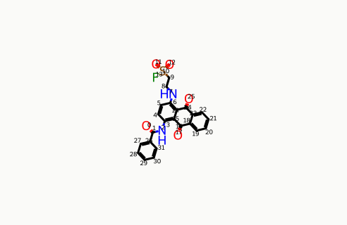 O=C(Nc1ccc(NCCS(=O)(=O)F)c2c1C(=O)c1ccccc1C2=O)c1ccccc1